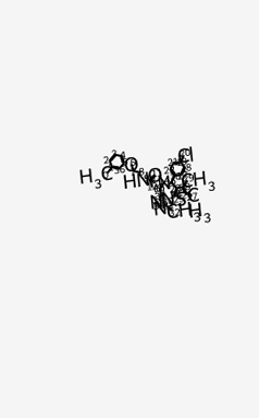 Cc1cccc(OCCNC(=O)C[C@@H]2N=C(c3ccc(Cl)cc3)c3c(sc(C)c3C)-n3c(C)nnc32)c1